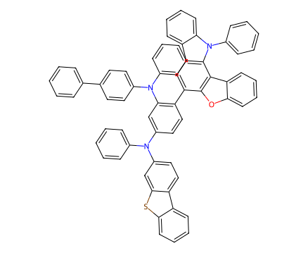 c1ccc(-c2ccc(N(c3ccccc3)c3cc(N(c4ccccc4)c4ccc5c(c4)sc4ccccc45)ccc3-c3cc4c5ccccc5n(-c5ccccc5)c4c4c3oc3ccccc34)cc2)cc1